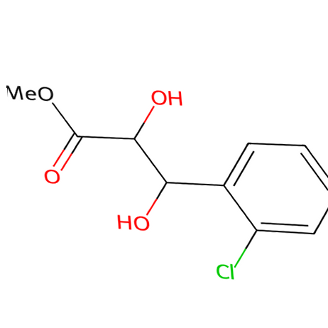 COC(=O)C(O)C(O)c1ccccc1Cl